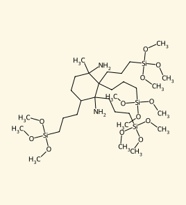 CO[Si](CCCC1CCC(C)(N)C(CCC[Si](OC)(OC)OC)(CCC[Si](OC)(OC)OC)C1(N)CCC[Si](OC)(OC)OC)(OC)OC